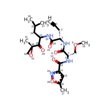 C#CC[C@H](NC(=O)[C@H](COC)NC(=O)c1cc(C)on1)C(=O)NC(CC(C)C)C(=O)[C@@]1(C)CO1